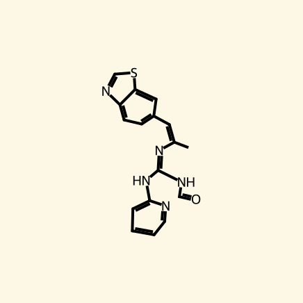 CC(=C/c1ccc2ncsc2c1)/N=C(\NC=O)Nc1ccccn1